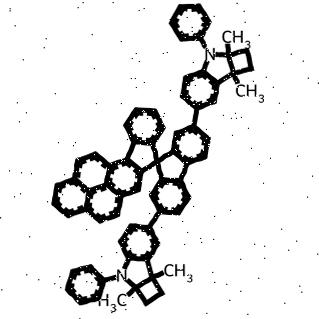 CC12CCC1(C)N(c1ccccc1)c1ccc(-c3ccc4c(c3)C3(c5cc(-c6ccc7c(c6)C6(C)CCC6(C)N7c6ccccc6)ccc5-4)c4ccccc4-c4c3cc3ccc5cccc6ccc4c3c56)cc12